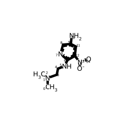 CN(C)CCNc1ncc(N)cc1[N+](=O)[O-]